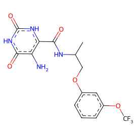 CC(COc1cccc(OC(F)(F)F)c1)NC(=O)c1[nH]c(=O)[nH]c(=O)c1N